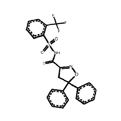 O=C(NS(=O)(=O)c1ccccc1C(F)(F)F)C1=NOC(c2ccccc2)(c2ccccc2)C1